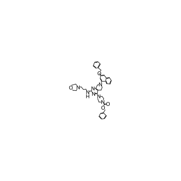 O=C(OCc1ccccc1)N1CCN(c2nc(NCCCN3CCOCC3)nc3c2CCN(c2cc(OCc4ccccc4)cc4ccccc24)C3)CC1